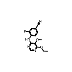 CCOc1ncnc(Nc2ccc(C#N)cc2F)c1OC